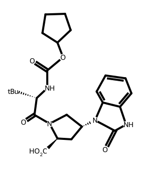 CC(C)(C)[C@H](NC(=O)OC1CCCC1)C(=O)N1C[C@H](n2c(=O)[nH]c3ccccc32)C[C@H]1C(=O)O